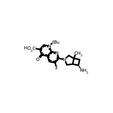 CC12C[C@@H](N)C1CN(c1nc3c(cc1F)c(=O)c(C(=O)O)cn3C(C)(C)C)C2